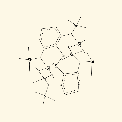 C[Si](C)(C)C(c1cccc(C([Si](C)(C)C)[Si](C)(C)C)c1SSc1c(C([Si](C)(C)C)[Si](C)(C)C)cccc1C([Si](C)(C)C)[Si](C)(C)C)[Si](C)(C)C